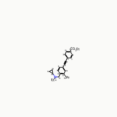 CCOC(=O)c1ccc(C#Cc2ccc(CN(CC)C3CC3)c(C(C)C)c2)cc1